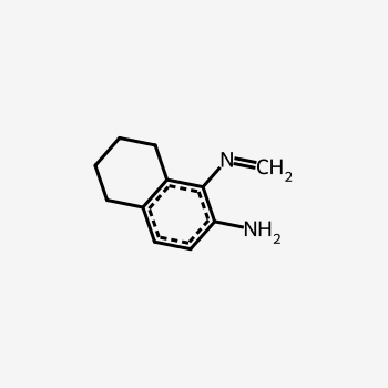 C=Nc1c(N)ccc2c1CCCC2